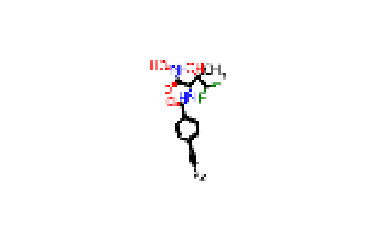 CC(=O)C#Cc1ccc(C(=O)N[C@H](C(=O)NO)C(C)(O)C(F)F)cc1